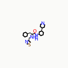 O=C(Nc1cccc(-c2ccncc2)c1)[C@H](Cc1ccccc1)NCc1cscn1